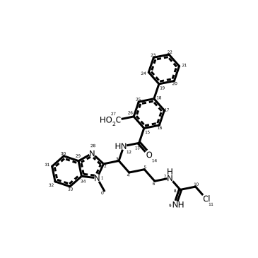 Cn1c(C(CCCNC(=N)CCl)NC(=O)c2ccc(-c3ccccc3)cc2C(=O)O)nc2ccccc21